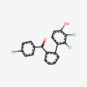 O=C(c1ccc(Cl)cc1)c1ccccc1-c1ccc(O)c(Cl)c1Cl